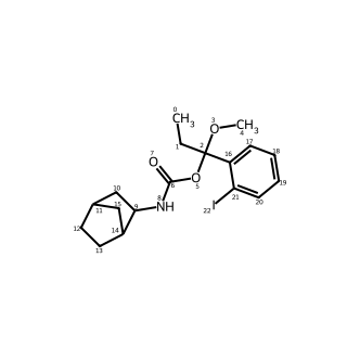 CCC(OC)(OC(=O)NC1CC2CCC1C2)c1ccccc1I